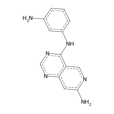 Nc1cccc(Nc2ncnc3cc(N)ncc23)c1